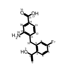 C=C(O)c1ccc(F)cc1Cc1ccc(C(=O)O)cc1N